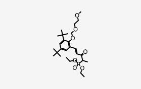 CCOP(=O)(OCC)C(C)C(=O)/C=C/c1cc(C(C)(C)C)cc(C(C)(C)C)c1OCOCCOC